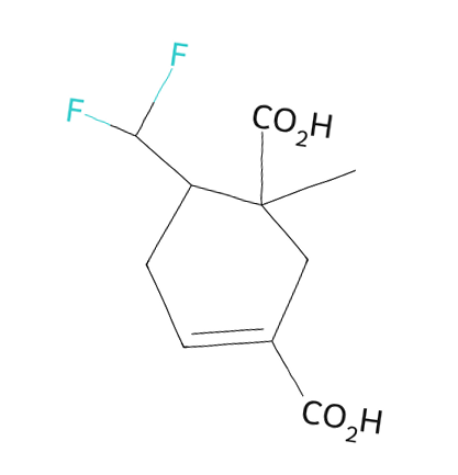 CC1(C(=O)O)CC(C(=O)O)=CCC1C(F)F